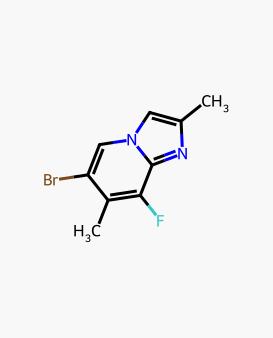 Cc1cn2cc(Br)c(C)c(F)c2n1